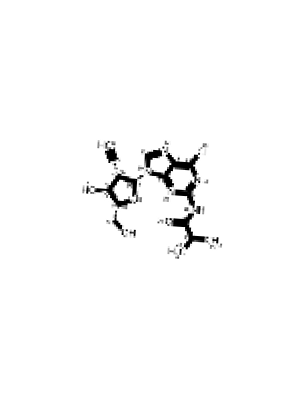 C#C[C@H]1[C@H](O)[C@@H](CO)O[C@H]1n1cnc2c(Cl)nc(NC(=O)C(C)C)nc21